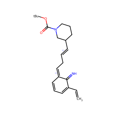 C=CC1=CC=C/C(=C/C/C=C/C2CCCN(C(=O)OC(C)(C)C)C2)C1=N